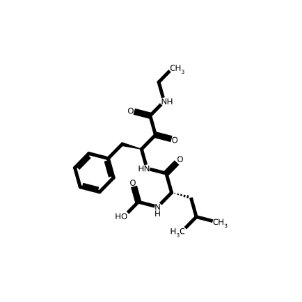 CCNC(=O)C(=O)[C@H](Cc1ccccc1)NC(=O)[C@H](CC(C)C)NC(=O)O